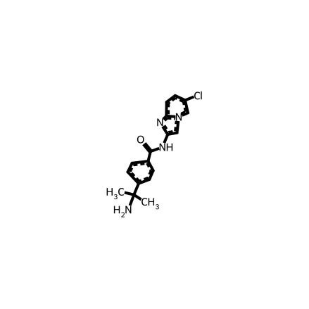 CC(C)(N)c1ccc(C(=O)Nc2cn3cc(Cl)ccc3n2)cc1